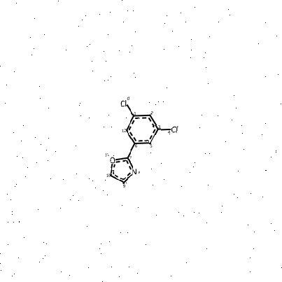 Clc1cc(Cl)cc(-c2n[c]co2)c1